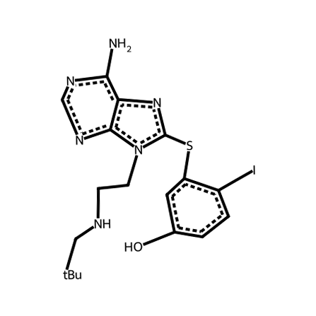 CC(C)(C)CNCCn1c(Sc2cc(O)ccc2I)nc2c(N)ncnc21